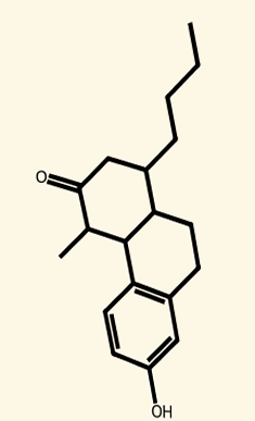 CCCCC1CC(=O)C(C)C2c3ccc(O)cc3CCC12